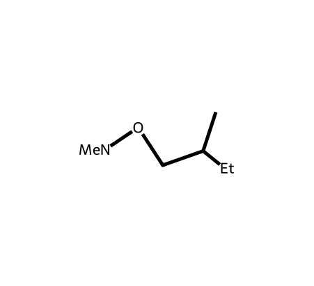 [CH2]NOCC(C)CC